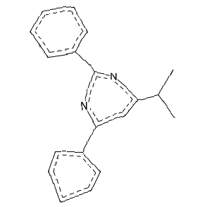 CC(C)c1cc(-c2ccccc2)nc(-c2ccccc2)n1